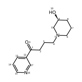 O=C(CCCN1CCC[C@H](O)C1)c1cccnc1